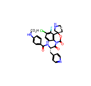 O=C(O)Nc1ccc(C(=O)N[C@@H](Cc2ccncc2)C(=O)N2C(=O)O[C@]3(CCCNC3)c3c2ccc(Cl)c3F)cc1